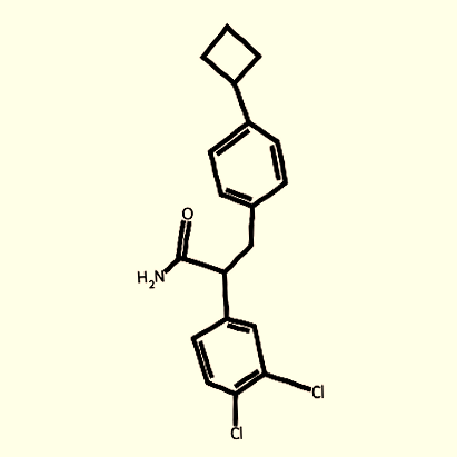 NC(=O)C(Cc1ccc(C2CCC2)cc1)c1ccc(Cl)c(Cl)c1